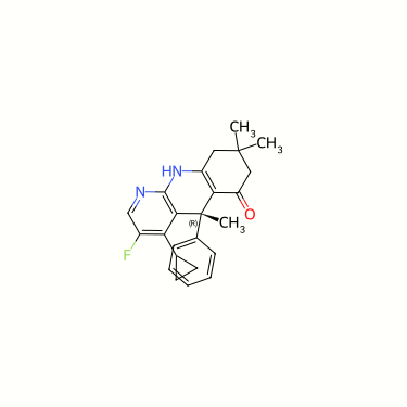 CC1(C)CC(=O)C2=C(C1)Nc1ncc(F)c(C3CC3)c1[C@@]2(C)c1ccccc1